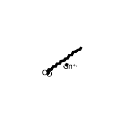 CCCCCCCCC=CCCCCCCCC(=O)[O-].[CH3][Sn+][CH3]